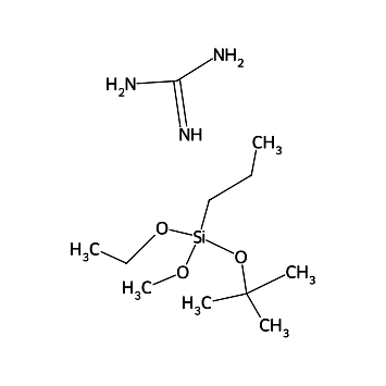 CCC[Si](OC)(OCC)OC(C)(C)C.N=C(N)N